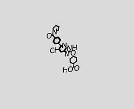 O=C(c1ccc(-c2nc3[nH]c(O[C@H]4CC[C@H](C(=O)O)CC4)nc3cc2Cl)cc1)N1CCCC1